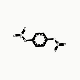 O=[SH](=O)Oc1ccc(O[SH](=O)=O)cc1